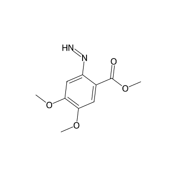 COC(=O)c1cc(OC)c(OC)cc1N=N